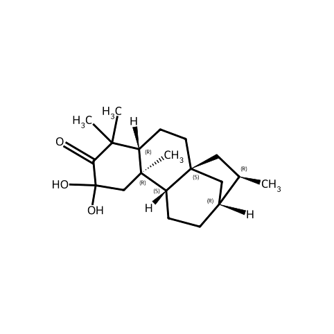 C[C@@H]1C[C@]23CC[C@H]4C(C)(C)C(=O)C(O)(O)C[C@]4(C)[C@H]2CC[C@@H]1C3